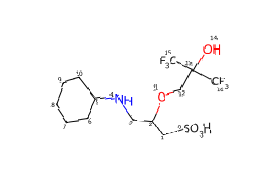 O=S(=O)(O)CC(CNC1CCCCC1)OCC(O)(C(F)(F)F)C(F)(F)F